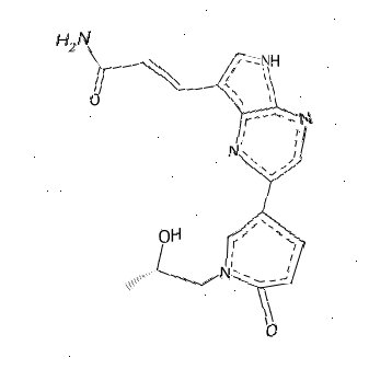 C[C@H](O)Cn1cc(-c2cnc3[nH]cc(C=CC(N)=O)c3n2)ccc1=O